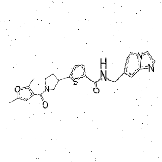 Cc1cc(C(=O)N2CCC(c3ccc(C(=O)NCc4ccn5ccnc5c4)s3)C2)c(C)o1